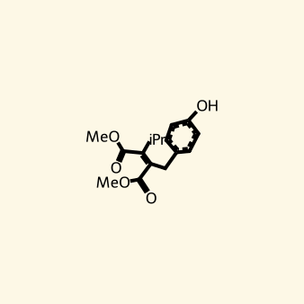 COC(=O)C(Cc1ccc(O)cc1)=C(C(=O)OC)C(C)C